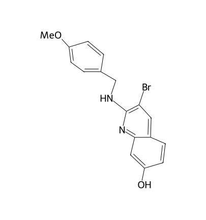 COc1ccc(CNc2nc3cc(O)ccc3cc2Br)cc1